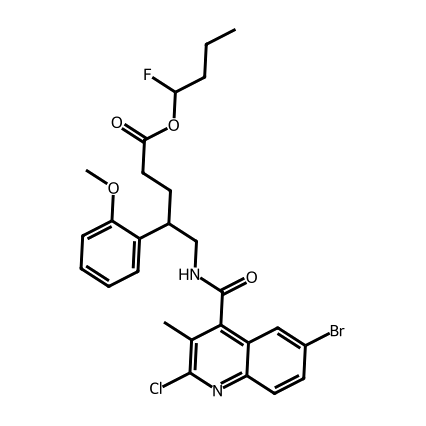 CCCC(F)OC(=O)CCC(CNC(=O)c1c(C)c(Cl)nc2ccc(Br)cc12)c1ccccc1OC